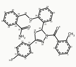 Cc1ccccc1C(=O)N1N=C(c2ccc(F)cc2)SC1c1ccccc1OCc1ccccc1C(N)=O